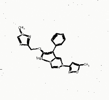 Cc1cc(N2C=C3C(c4ccccc4)=C(OCc4ncn(C)n4)NN3C=N2)no1